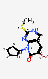 CSc1ncc2cc(Br)c(=O)n(C3CCCC3)c2n1